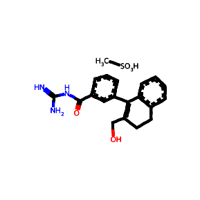 CS(=O)(=O)O.N=C(N)NC(=O)c1cccc(C2=C(CO)CCc3ccccc32)c1